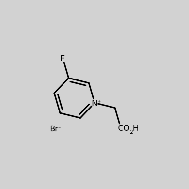 O=C(O)C[n+]1cccc(F)c1.[Br-]